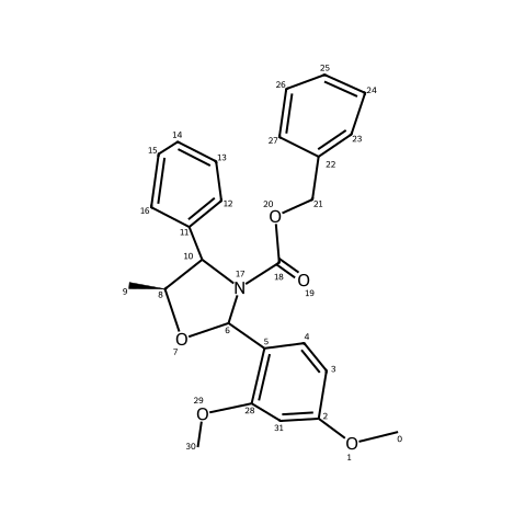 COc1ccc(C2O[C@@H](C)C(c3ccccc3)N2C(=O)OCc2ccccc2)c(OC)c1